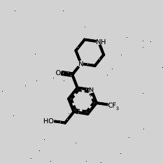 O=C(c1cc(CO)cc(C(F)(F)F)n1)N1CCNCC1